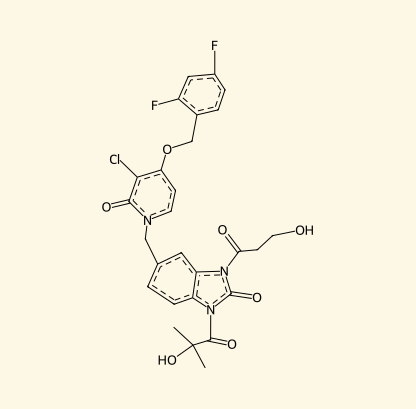 CC(C)(O)C(=O)n1c(=O)n(C(=O)CCO)c2cc(Cn3ccc(OCc4ccc(F)cc4F)c(Cl)c3=O)ccc21